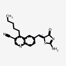 CCCCCc1c(C#N)cnc2ccc(/C=C3\SC(N)=NC3=O)cc12